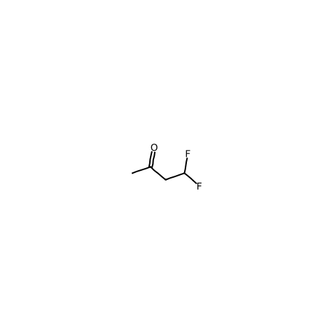 CC(=O)CC(F)F